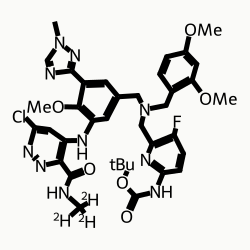 [2H]C([2H])([2H])NC(=O)c1nnc(Cl)cc1Nc1cc(CN(Cc2ccc(OC)cc2OC)Cc2nc(NC(=O)OC(C)(C)C)ccc2F)cc(-c2ncn(C)n2)c1OC